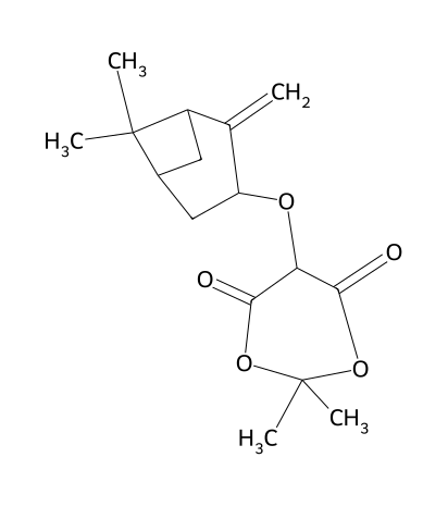 C=C1C(OC2C(=O)OC(C)(C)OC2=O)CC2CC1C2(C)C